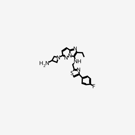 CCc1nc2ccc(N3CC(N)C3)nn2c1NCc1nc(-c2ccc(F)cc2)cs1